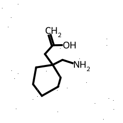 C=C(O)CC1(CN)CCCCC1